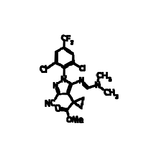 COC(=O)C1(c2c(C#N)nn(-c3c(Cl)cc(C(F)(F)F)cc3Cl)c2N=CN(C)C)CC1